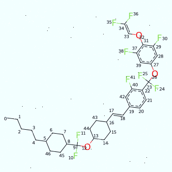 CCCCCC1CCC(C(F)(F)OC2CCC(/C=C/c3ccc(C(F)(F)Oc4cc(F)c(OC=C(F)F)c(F)c4)c(F)c3)CC2)CC1